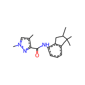 Cc1cn(C)nc1C(=O)Nc1cccc2c1CC(C)C2(C)C